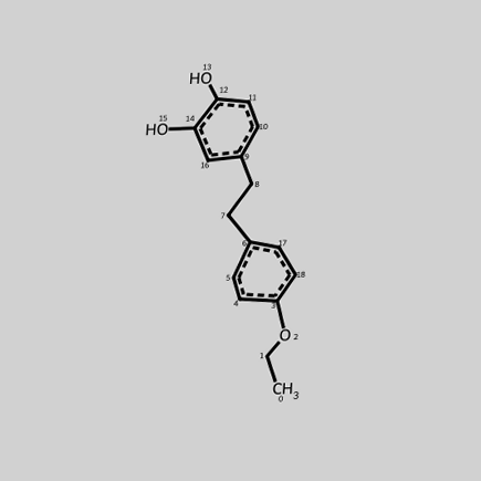 CCOc1ccc(CCc2ccc(O)c(O)c2)cc1